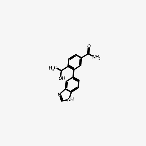 CC(O)c1ccc(C(N)=O)cc1-c1ccc2[nH]cnc2c1